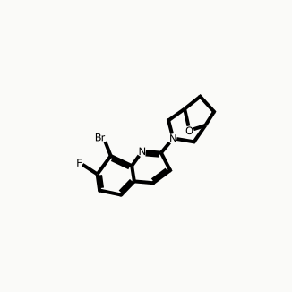 Fc1ccc2ccc(N3CC4CCC(C3)O4)nc2c1Br